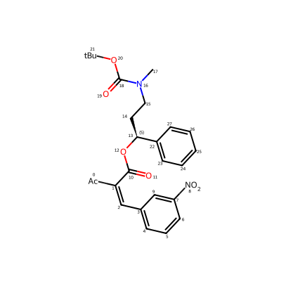 CC(=O)C(=Cc1cccc([N+](=O)[O-])c1)C(=O)O[C@@H](CCN(C)C(=O)OC(C)(C)C)c1ccccc1